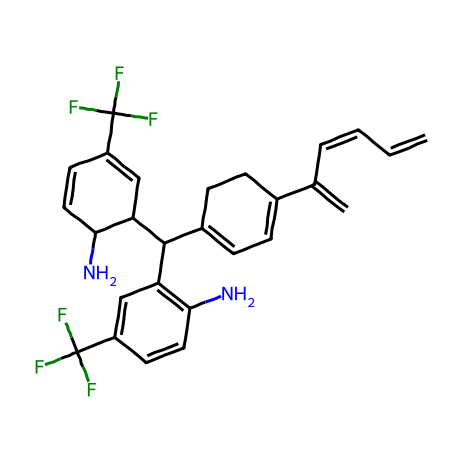 C=C/C=C\C(=C)C1=CC=C(C(c2cc(C(F)(F)F)ccc2N)C2C=C(C(F)(F)F)C=CC2N)CC1